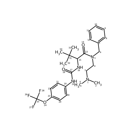 CN(C)CCN(Cc1ccccc1)C(=O)C(NC(=O)Nc1ccc(OC(F)(F)F)cc1)C(C)(C)C